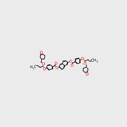 CCCC(OCC1CCC2OC2C1)Oc1ccc(C(=O)Oc2ccc3cc(OC(=O)c4ccc(OC(CCC)OCC5CCC6OC6C5)cc4)ccc3c2)cc1